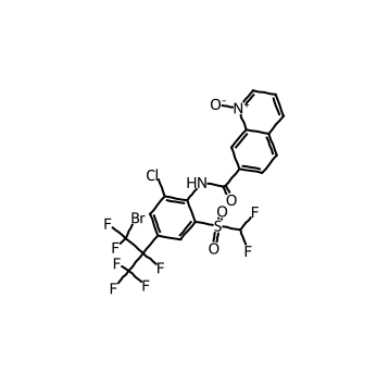 O=C(Nc1c(Cl)cc(C(F)(C(F)(F)F)C(F)(F)Br)cc1S(=O)(=O)C(F)F)c1ccc2ccc[n+]([O-])c2c1